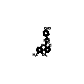 Cc1ccc(OC(c2nc(-c3ccc(C=O)cc3)no2)c2ccccc2Cl)cc1C